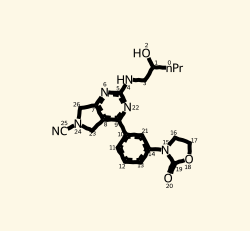 CCCC(O)CNc1nc2c(c(-c3cccc(N4CCOC4=O)c3)n1)CN(C#N)C2